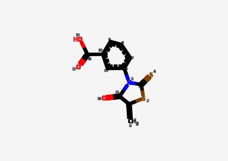 C=C1SC(=S)N(c2cccc(C(=O)O)c2)C1=O